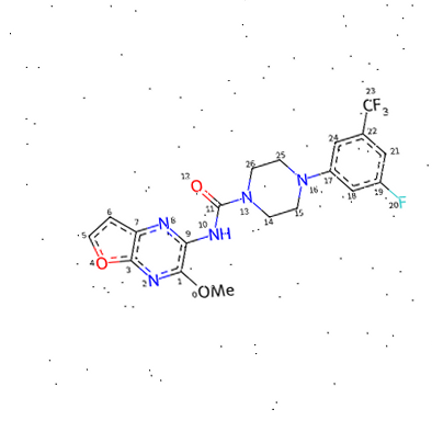 COc1nc2occc2nc1NC(=O)N1CCN(c2cc(F)cc(C(F)(F)F)c2)CC1